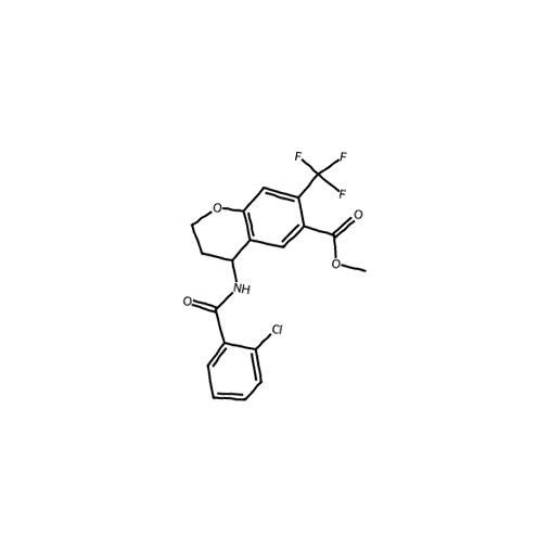 COC(=O)c1cc2c(cc1C(F)(F)F)OCCC2NC(=O)c1ccccc1Cl